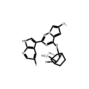 O=C(O)[C@H]1C2CCC(CC2)[C@@H]1Nc1nc(-c2c[nH]c3ncc(F)cc23)nn2cc(C(F)(F)F)cc12